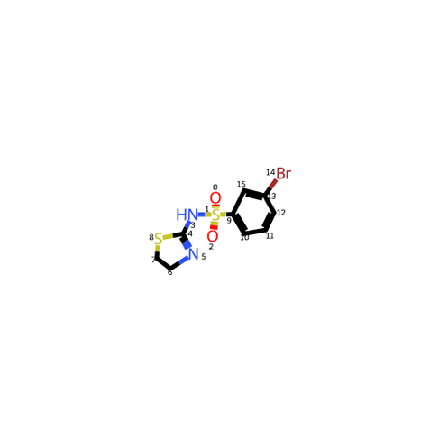 O=S(=O)(NC1=NCCS1)c1cccc(Br)c1